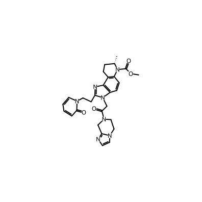 COC(=O)N1c2ccc3c(nc(CCn4ccccc4=O)n3CC(=O)N3CCn4ccnc4C3)c2CC[C@@H]1C